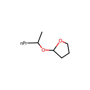 CCCC(C)OC1CCCO1